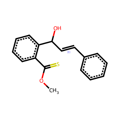 COC(=S)c1ccccc1C(O)/C=C/c1ccccc1